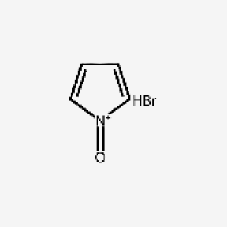 Br.O=[N+]1C=CC=C1